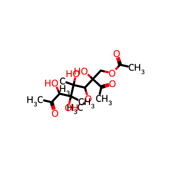 COC(C(O)(COC(C)=O)C(C)=O)C(C)(O)C(C)(O)C(O)C(C)=O